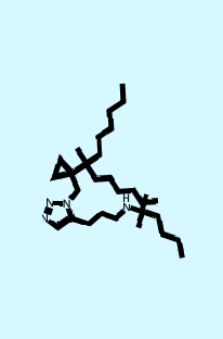 CCCCCCC(C)(CCCCCC)C1(Cn2nncc2CCCNC(C)(C)CCCC)CC1